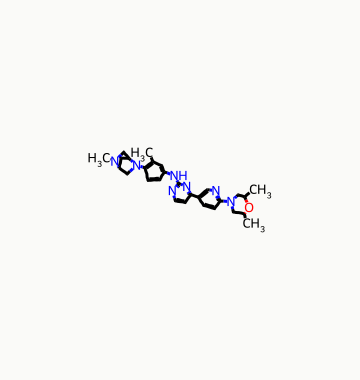 Cc1cc(Nc2nccc(-c3ccc(N4CC(C)OC(C)C4)nc3)n2)ccc1N1CC2CC1CN2C